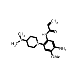 C=CC(=O)Nc1cc(N)c(OC)cc1N1CCC(N(C)C)CC1